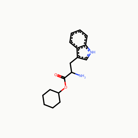 NC(Cc1c[nH]c2ccccc12)C(=O)OC1CCCCC1